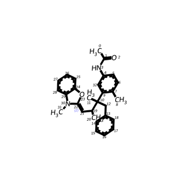 CC(=O)Nc1ccc(C)c(C(C)(Cc2ccccc2)C(C)/C=C2\Oc3ccccc3N2C)c1